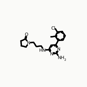 Cc1c(Cl)cccc1-c1cc(NCCCN2CCCC2=O)nc(N)n1